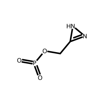 O=P(=O)OCC1=NN1